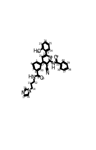 N#Cc1c(-c2cccc(C(=O)NCCCn3ccnc3)c2)cc(-c2ccccc2O)nc1NC(=O)c1ccccc1